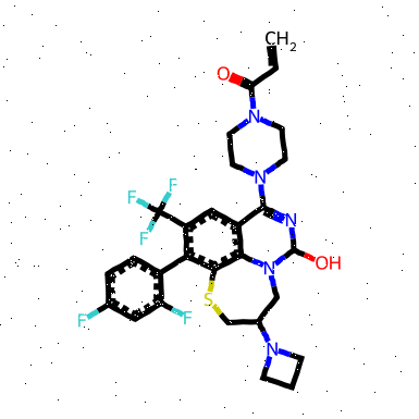 C=CC(=O)N1CCN(C2=NC(O)N3CC(N4CCC4)CSc4c(-c5ccc(F)cc5F)c(C(F)(F)F)cc2c43)CC1